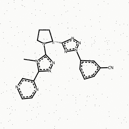 Cn1c(-c2cnccn2)nnc1N1CCC[C@@H]1c1nnn(-c2cccc(C#N)c2)n1